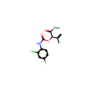 C=C(C)C(OC(=O)Nc1ccc(F)cc1Cl)C(=O)OC